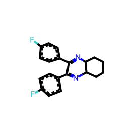 Fc1ccc(C2=NC3CCCCC3N=C2c2ccc(F)cc2)cc1